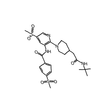 CC(C)(C)NC(=O)CC1CCN(c2ncc(S(C)(=O)=O)cc2NC(=O)c2ccc(S(C)(=O)=O)cc2)CC1